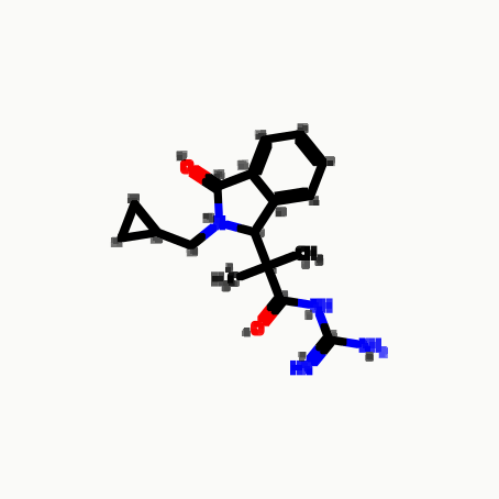 CC(C)(C(=O)NC(=N)N)C1c2ccccc2C(=O)N1CC1CC1